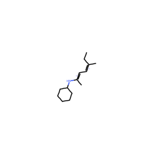 CC/C(C)=C\C=C(/C)NC1CCCCC1